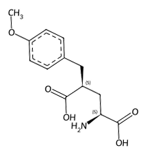 COc1ccc(C[C@@H](C[C@H](N)C(=O)O)C(=O)O)cc1